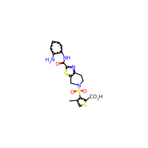 Cc1csc(C(=O)O)c1S(=O)(=O)N1CCc2nc(C(=O)Nc3ccccc3N)sc2C1